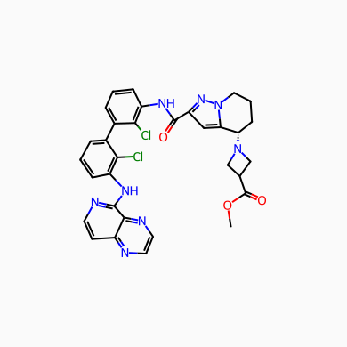 COC(=O)C1CN([C@H]2CCCn3nc(C(=O)Nc4cccc(-c5cccc(Nc6nccc7nccnc67)c5Cl)c4Cl)cc32)C1